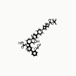 COCOc1ccccc1-c1cc2c3c(n(C(=O)O)c2nn1)CCN(c1ncc(C2CCN(C4CC5(C4)CN(C(=O)OC(C)(C)C)C5)CC2)cn1)C3CO